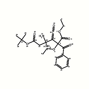 CCOC(=O)C(OCC)(C(=O)c1ccccc1)C(=C=O)C(N)(N)CC(=O)OC(C)(C)C